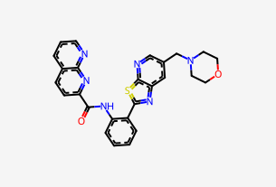 O=C(Nc1ccccc1-c1nc2cc(CN3CCOCC3)cnc2s1)c1ccc2cccnc2n1